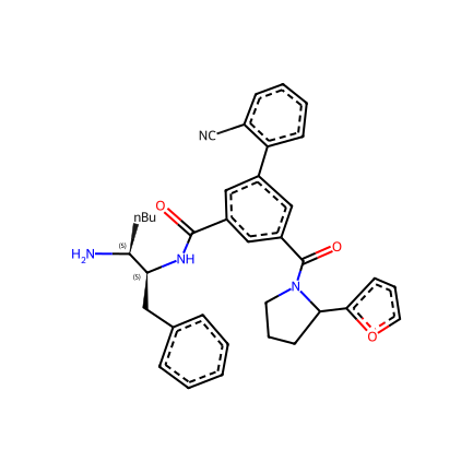 CCCC[C@H](N)[C@H](Cc1ccccc1)NC(=O)c1cc(C(=O)N2CCCC2c2ccco2)cc(-c2ccccc2C#N)c1